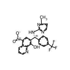 Cc1ccnc(N[C@H](c2ccc(C(F)(F)F)cc2)c2cc([N+](=O)[O-])c3cccnc3c2O)n1